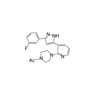 CC(=O)N1CCN(c2ncccc2-c2cc(-c3cccc(F)c3)n[nH]2)CC1